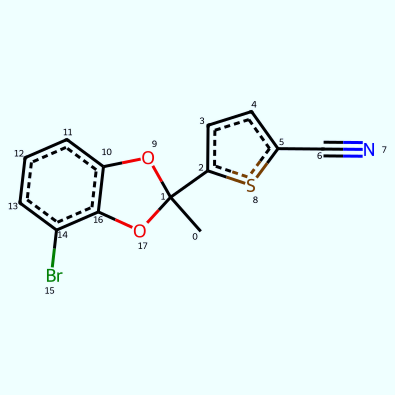 CC1(c2ccc(C#N)s2)Oc2cccc(Br)c2O1